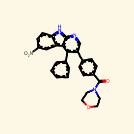 O=C(c1ccc(-c2cnc3[nH]c4ccc([N+](=O)[O-])cc4c3c2-c2ccccc2)cc1)N1CCOCC1